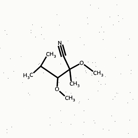 COC(C(C)C)C(C)(C#N)OC